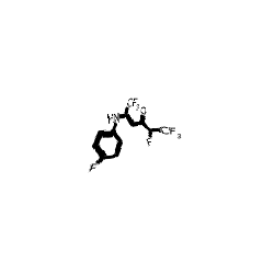 O=C(C=C(Nc1ccc(F)cc1)C(F)(F)F)C(F)C(F)(F)F